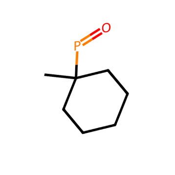 CC1(P=O)CCCCC1